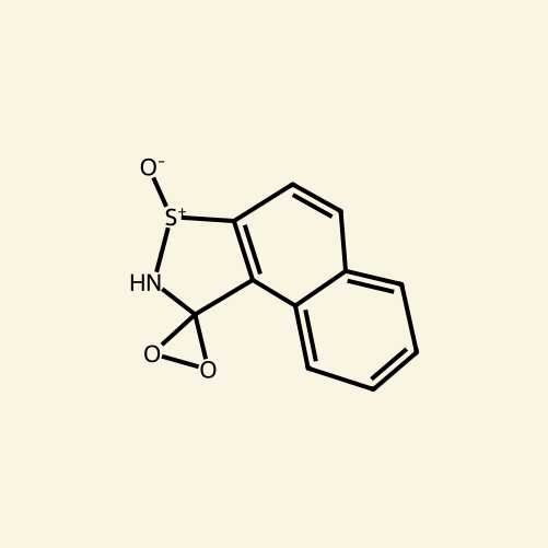 [O-][S+]1NC2(OO2)c2c1ccc1ccccc21